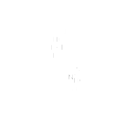 Cl.Cl.Cl.Cl.Cl.O=[N+]([O-])c1ccccc1